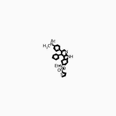 CCN(c1ccc2[nH]c3ncc(-c4ccc(N(C)C(C)=O)cc4)c(-c4ccccc4)c3c2c1)S(=O)(=O)c1cccs1